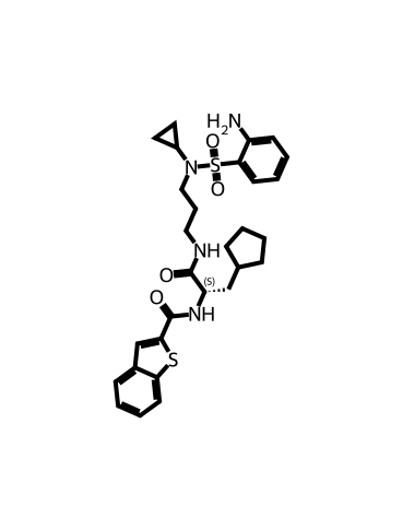 Nc1ccccc1S(=O)(=O)N(CCCNC(=O)[C@H](CC1CCCC1)NC(=O)c1cc2ccccc2s1)C1CC1